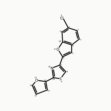 Clc1ccc2cc(-c3csc(-c4ccco4)n3)oc2c1